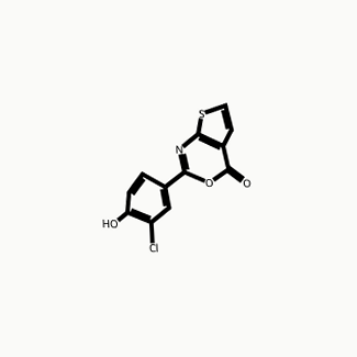 O=c1oc(-c2ccc(O)c(Cl)c2)nc2sccc12